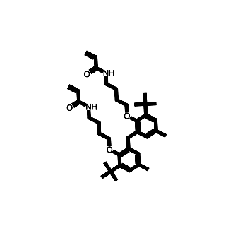 C=CC(=O)NCCCCOc1c(Cc2cc(C)cc(C(C)(C)C)c2OCCCCNC(=O)C=C)cc(C)cc1C(C)(C)C